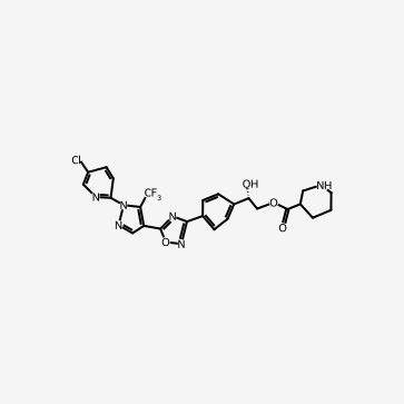 O=C(OC[C@@H](O)c1ccc(-c2noc(-c3cnn(-c4ccc(Cl)cn4)c3C(F)(F)F)n2)cc1)C1CCCNC1